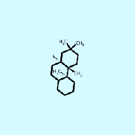 CC1(C)CC[C@@]2(C)[C@@](I)(CCC3CCCC[C@@]32C)C1